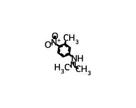 Cc1cc(NN(C)C)ccc1[N+](=O)[O-]